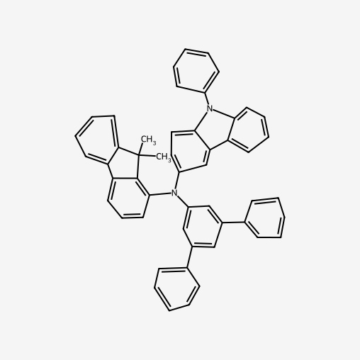 CC1(C)c2ccccc2-c2cccc(N(c3cc(-c4ccccc4)cc(-c4ccccc4)c3)c3ccc4c(c3)c3ccccc3n4-c3ccccc3)c21